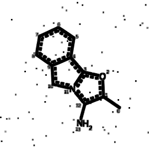 Cc1oc2c3ccccc3cn2c1N